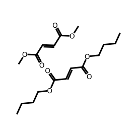 CCCCOC(=O)C=CC(=O)OCCCC.COC(=O)C=CC(=O)OC